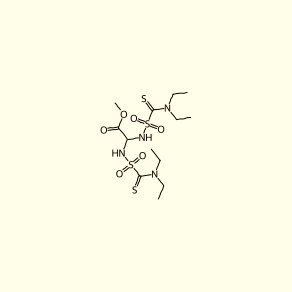 CCN(CC)C(=S)S(=O)(=O)NC(NS(=O)(=O)C(=S)N(CC)CC)C(=O)OC